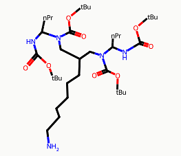 CCCC(NC(=O)OC(C)(C)C)N(CC(CCCCCCN)CN(C(=O)OC(C)(C)C)C(CCC)NC(=O)OC(C)(C)C)C(=O)OC(C)(C)C